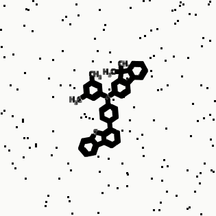 Cc1cc(C)cc(N(C2=CCC(c3cccc4c3sc3ccccc34)C=C2)c2ccc3c(c2)C(C)(C)C2C=CC=CC32)c1